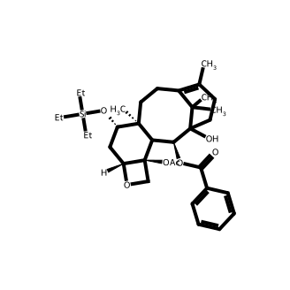 CC[Si](CC)(CC)O[C@H]1C[C@H]2OC[C@@]2(OC(C)=O)C2[C@H](OC(=O)c3ccccc3)C3(O)CCC(C)=C(CC[C@@]21C)C3(C)C